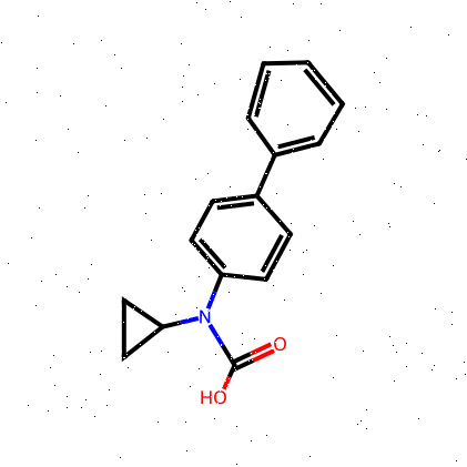 O=C(O)N(c1ccc(-c2ccccc2)cc1)C1CC1